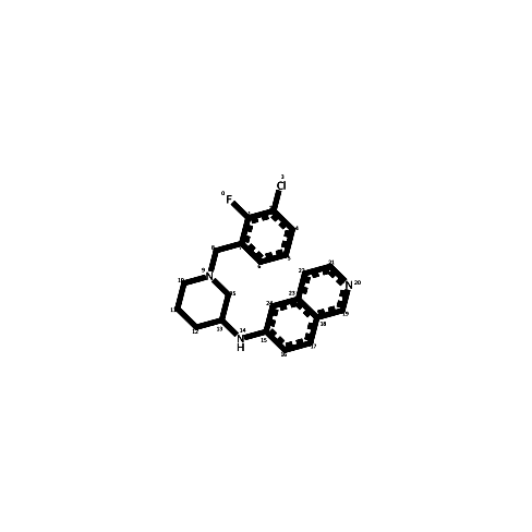 Fc1c(Cl)cccc1CN1CCCC(Nc2ccc3cnccc3c2)C1